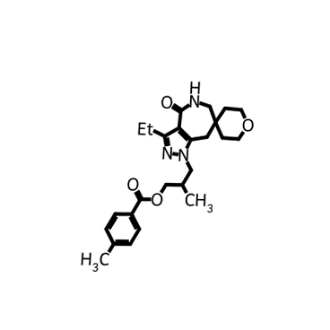 CCc1nn(CC(C)COC(=O)c2ccc(C)cc2)c2c1C(=O)NCC1(CCOCC1)C2